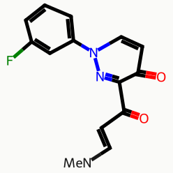 CN/C=C/C(=O)c1nn(-c2cccc(F)c2)ccc1=O